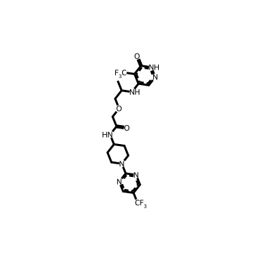 CC(COCC(=O)NC1CCN(c2ncc(C(F)(F)F)cn2)CC1)Nc1cn[nH]c(=O)c1C(F)(F)F